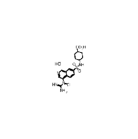 Cl.N=C(N)N(Cl)c1cncc2cc(S(=O)(=O)N[C@H]3CC[C@H](C(=O)O)CC3)ccc12